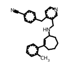 Cc1ccccc1C1=CC(NCc2cnccc2Cc2ccc(C#N)cc2)CCCC1